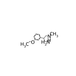 CCOc1cccc(C(CN)CNC)c1